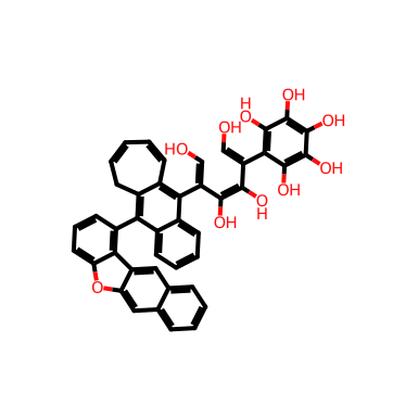 O/C=C(/C(O)=C(O)\C(=C\O)c1c2c(c(-c3cccc4oc5cc6ccccc6cc5c34)c3ccccc13)CC=CC=C2)c1c(O)c(O)c(O)c(O)c1O